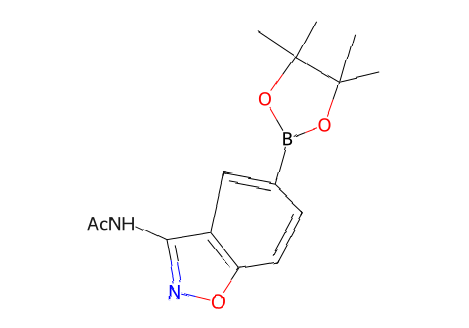 CC(=O)Nc1noc2ccc(B3OC(C)(C)C(C)(C)O3)cc12